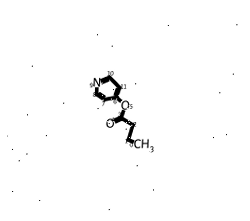 CCCC(=O)Oc1ccncc1